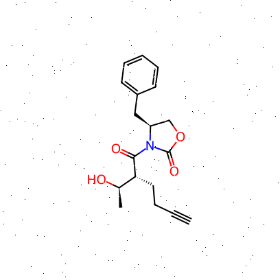 C#CCC[C@@H](C(=O)N1C(=O)OC[C@@H]1Cc1ccccc1)[C@@H](C)O